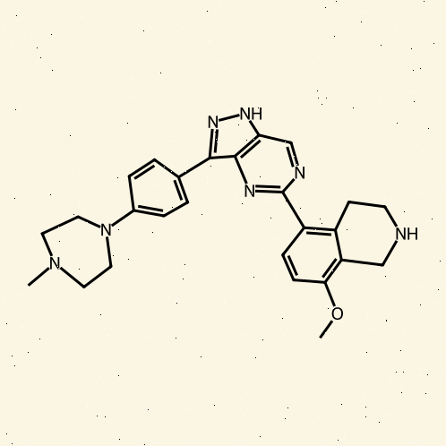 COc1ccc(-c2ncc3[nH]nc(-c4ccc(N5CCN(C)CC5)cc4)c3n2)c2c1CNCC2